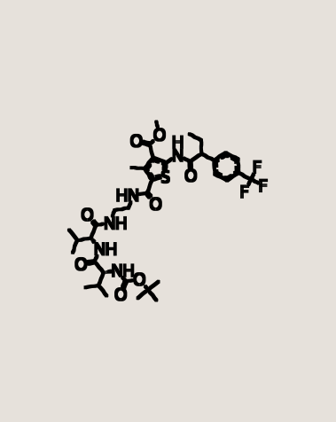 CCC(C(=O)Nc1sc(C(=O)NCCNC(=O)[C@@H](NC(=O)[C@@H](NC(=O)OC(C)(C)C)C(C)C)C(C)C)c(C)c1C(=O)OC)c1ccc(C(F)(F)F)cc1